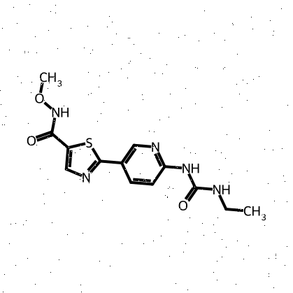 CCNC(=O)Nc1ccc(-c2ncc(C(=O)NOC)s2)cn1